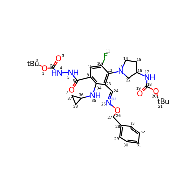 CC(C)(C)OC(=O)NNC(=O)c1cc(F)c(N2CCC(NC(=O)OC(C)(C)C)C2)c(/C=N/OCc2ccccc2)c1NC1CC1